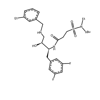 CCCCN(CC)S(=O)(=O)CCC(=O)N[C@@H](Cc1cc(F)cc(F)c1)[C@@H](O)CNCc1cccc(CC)c1